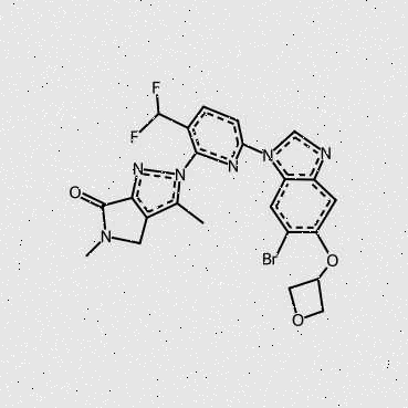 Cc1c2c(nn1-c1nc(-n3cnc4cc(OC5COC5)c(Br)cc43)ccc1C(F)F)C(=O)N(C)C2